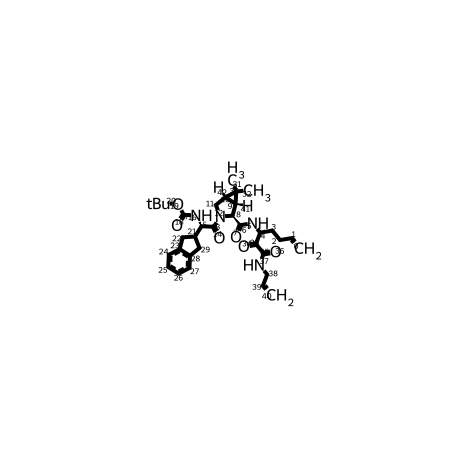 C=CCCC(NC(=O)[C@@H]1[C@@H]2[C@H](CN1C(=O)[C@@H](NC(=O)OC(C)(C)C)C1Cc3ccccc3C1)C2(C)C)C(=O)C(=O)NCC=C